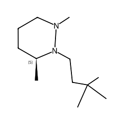 C[C@H]1CCCN(C)N1CCC(C)(C)C